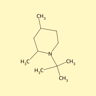 CC1CCN(C(C)(C)C)C(C)C1